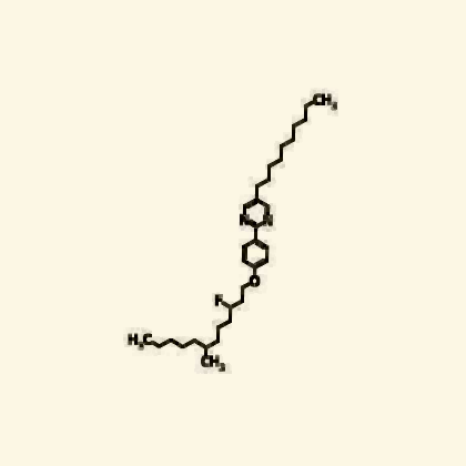 CCCCCCCCCCc1cnc(-c2ccc(OCCC(F)CCCC(C)CCCCC)cc2)nc1